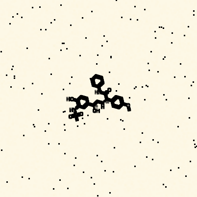 COc1ccc([C@@H](NC[C@H](O)c2ccc(O)c(NS(C)(=O)=O)c2)C(=O)Nc2ccccc2)cc1